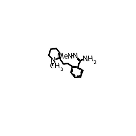 CN/N=C(/N)c1ccccc1CCC1CCCCN1C